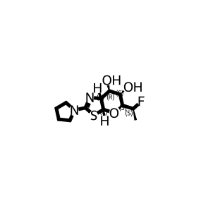 C[C@H](F)[C@H]1O[C@@H]2SC(N3CCCC3)=N[C@@H]2[C@@H](O)[C@@H]1O